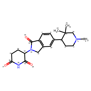 BN1CCC(c2ccc3c(c2)CN(C2CCC(=O)NC2=O)C3=O)C(C)(C)C1